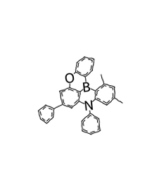 Cc1cc(C)c2c(c1)N(c1ccccc1)c1cc(-c3ccccc3)cc3c1B2c1ccccc1O3